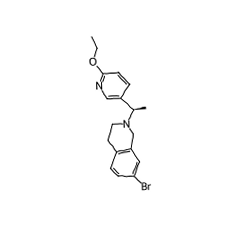 CCOc1ccc([C@@H](C)N2CCc3ccc(Br)cc3C2)cn1